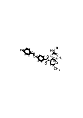 C[C@H]1CN(S(=O)(=O)c2ccc(OCc3ccc(F)cc3)cc2)[C@H](OC(=O)NO)[C@@H](C)O1